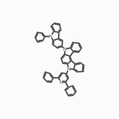 c1ccc(-c2cc(-n3c4ccccc4c4c5c6ccccc6n(-c6ccc7c(c6)c6ccccc6n7-c6ccccc6)c5ccc43)cc(-c3ccccc3)n2)cc1